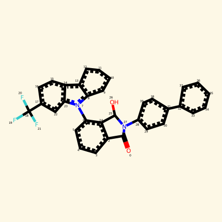 O=C1c2cccc(-n3c4ccccc4c4ccc(C(F)(F)F)cc43)c2C(O)N1c1ccc(-c2ccccc2)cc1